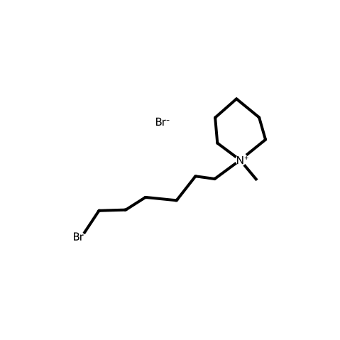 C[N+]1(CCCCCCBr)CCCCC1.[Br-]